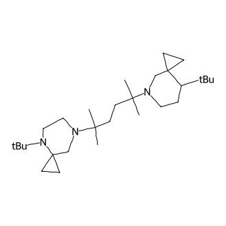 CC(C)(C)C1CCN(C(C)(C)CCC(C)(C)N2CCN(C(C)(C)C)C3(CC3)C2)CC12CC2